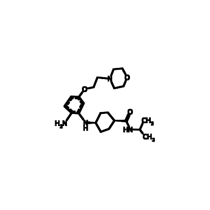 CC(C)NC(=O)[C@H]1CC[C@@H](Nc2cc(OCCN3CCOCC3)ccc2N)CC1